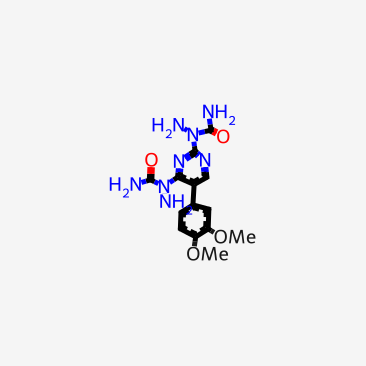 COc1ccc(-c2cnc(N(N)C(N)=O)nc2N(N)C(N)=O)cc1OC